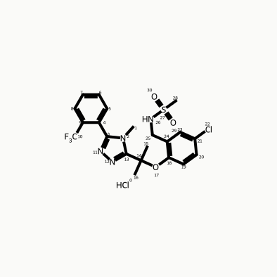 Cl.Cn1c(-c2ccccc2C(F)(F)F)nnc1C(C)(C)Oc1ccc(Cl)cc1CNS(C)(=O)=O